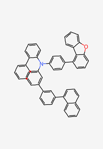 c1ccc(-c2ccccc2N(c2ccc(-c3cccc4oc5ccccc5c34)cc2)c2cccc(-c3cccc(-c4cccc5ccccc45)c3)c2)cc1